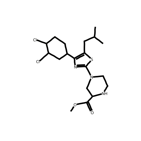 COC(=O)C1CN(c2nc(C3CCC(Cl)C(Cl)C3)c(CC(C)C)s2)CCN1